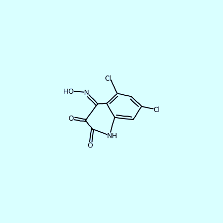 O=C1Nc2cc(Cl)cc(Cl)c2/C(=N/O)C1=O